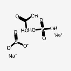 O=C(O)O.O=S(=O)(O)O.O=S([O-])[O-].[Na+].[Na+]